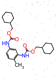 Cc1ccc(NC(=O)OCC2CCCCC2)cc1NC(=O)OCC1CCCCC1